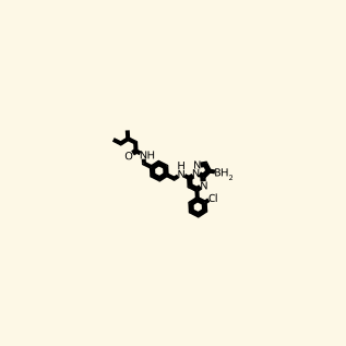 Bc1cnn2c(NCc3ccc(CNC(=O)CC(C)CC)cc3)cc(-c3ccccc3Cl)nc12